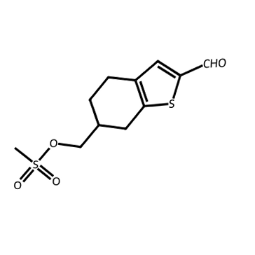 CS(=O)(=O)OCC1CCc2cc(C=O)sc2C1